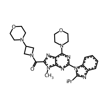 CC(C)c1nc2ccccc2n1-c1nc(N2CCOCC2)c2nc(C(=O)N3CC(N4CCOCC4)C3)n(C)c2n1